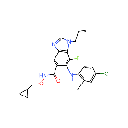 C=CCn1cnc2cc(C(=O)NOCC3CC3)c(Nc3ccc(Cl)cc3C)c(F)c21